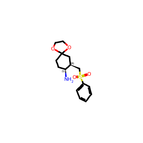 N[C@H]1CCC2(C[C@H]1CS(=O)(=O)c1ccccc1)OCCO2